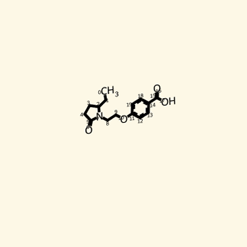 CCC1CCC(=O)N1CCOc1ccc(C(=O)O)cc1